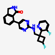 O=C1NCc2cccc(-c3cnc(NCC4(c5ncccc5F)CC(F)C4)nc3)c21